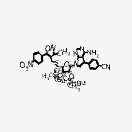 Cc1noc(-c2ccc([N+](=O)[O-])cc2)c1CSC[C@H]1O[C@@H](n2cc(-c3ccc(C#N)cc3)c3c(N)ncnc32)[C@H](O[Si](C)(C)C(C)(C)C)[C@@H]1O[Si](C)(C)C(C)(C)C